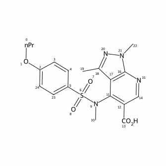 CCCOc1ccc(S(=O)(=O)N(C)c2c(C(=O)O)cnc3c2c(C)nn3C)cc1